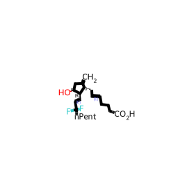 C=C1C[C@@H](O)[C@H](/C=C/C(F)(F)CCCCC)[C@H]1C/C=C/CCCC(=O)O